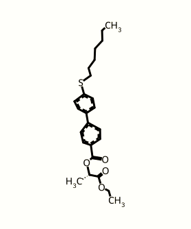 CCCCCCCSc1ccc(-c2ccc(C(=O)O[C@@H](C)C(=O)OCC)cc2)cc1